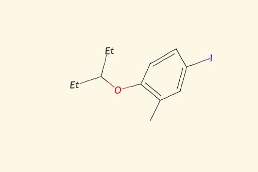 CCC(CC)Oc1ccc(I)cc1C